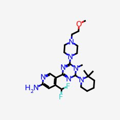 COCCN1CCN(C2=NC(c3cnc(N)cc3C(F)F)=NC(N3CCCCC3(C)C)N2C)CC1